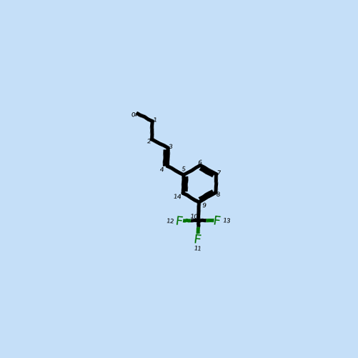 [CH2]CCC=Cc1cccc(C(F)(F)F)c1